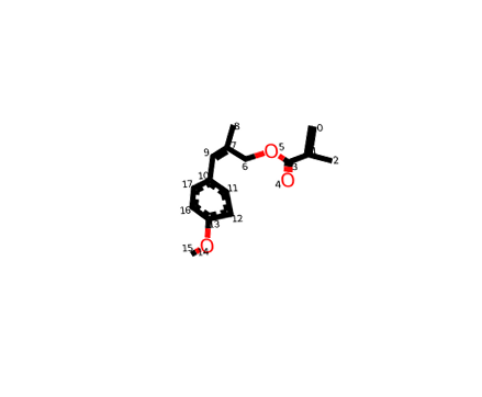 C=C(C)C(=O)OCC(C)=Cc1ccc(OC)cc1